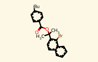 CCC(C)c1ccc(C(=O)OC(C)(C)c2ccc3ccccc3c2Br)cc1